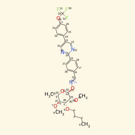 CCCCO[C@@H]1[C@@H](OC)[C@H](C)O[C@@H](O/N=C/c2ccc(-c3ncc(-c4ccc(OC(F)(F)F)cc4)cn3)cc2)[C@@H]1OC